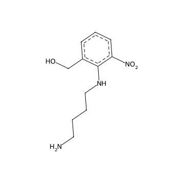 NCCCCNc1c(CO)cccc1[N+](=O)[O-]